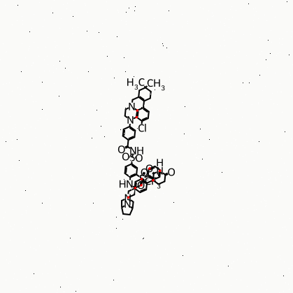 CC1(C)CCC(c2ccc(Cl)cc2)=C(CN2CCN(c3ccc(C(=O)NS(=O)(=O)c4ccc(N[C@H](CCN5C6CCC5CN(Cc5ccc(C7CCC(=O)NC7=O)cc5)C6)CSc5ccccc5)c(S(=O)(=O)C(F)(F)F)c4)cc3)CC2)C1